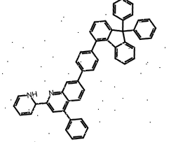 C1=CNC(c2cc(-c3ccccc3)c3ccc(-c4ccc(-c5cccc6c5-c5ccccc5C6(c5ccccc5)c5ccccc5)cc4)cc3n2)C=C1